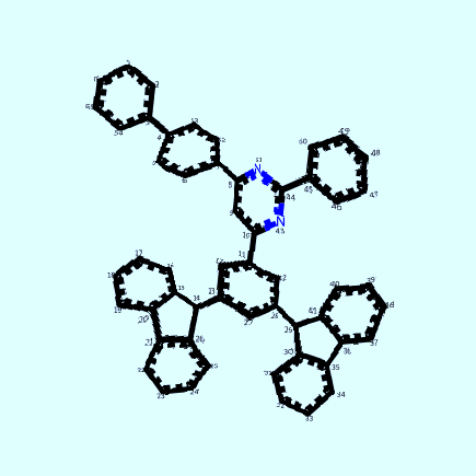 c1ccc(-c2ccc(-c3cc(-c4cc(C5c6ccccc6-c6ccccc65)cc(C5c6ccccc6-c6ccccc65)c4)nc(-c4ccccc4)n3)cc2)cc1